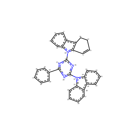 C1=Cc2c(c3ccccc3n2-c2nc(-c3ccccc3)nc(-n3c4ccccc4c4ccccc43)n2)CC1